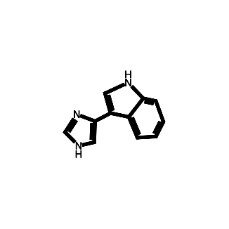 c1ccc2c(-c3c[nH]cn3)c[nH]c2c1